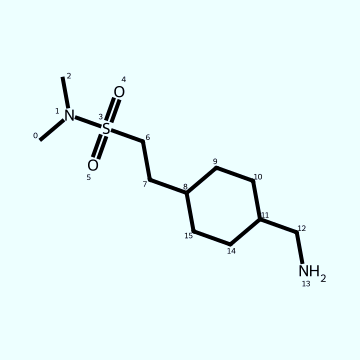 CN(C)S(=O)(=O)CCC1CCC(CN)CC1